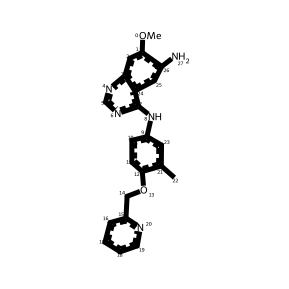 COc1cc2ncnc(Nc3ccc(OCc4ccccn4)c(C)c3)c2cc1N